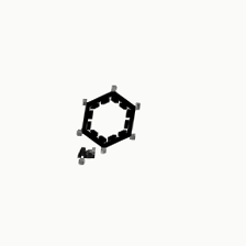 [As].c1ccccc1